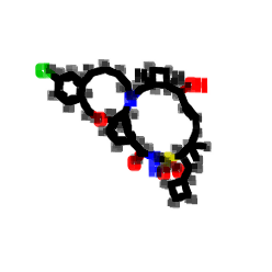 CC1(C)C/C=C/[C@H](O)[C@@H]2CC[C@H]2CN2CCCCc3cc(Cl)ccc3COc3ccc(cc32)C(=O)NS(=O)(=O)[C@@H]1CC1CCC1